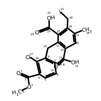 COC(=O)c1ccc(Cl)c(Cc2c(C(=O)O)cc(C)c(CI)c2C(=O)O)c1Cl